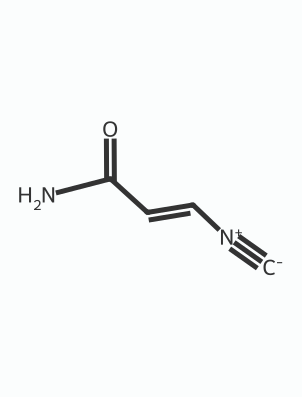 [C-]#[N+]C=CC(N)=O